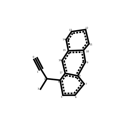 [C]#CC(C)c1cccc2cc3ccccc3cc12